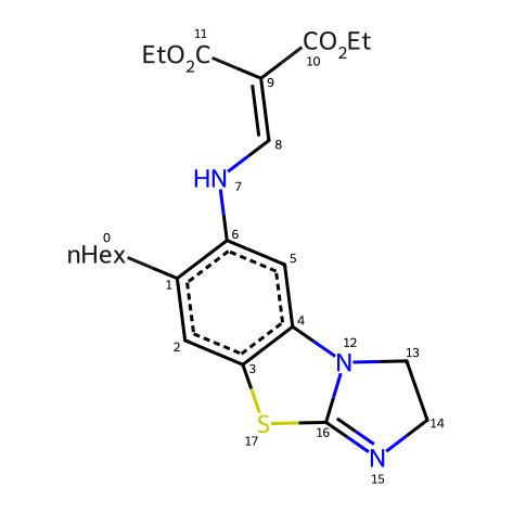 CCCCCCc1cc2c(cc1NC=C(C(=O)OCC)C(=O)OCC)N1CCN=C1S2